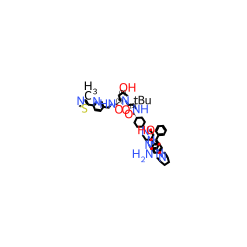 Cc1ncsc1-c1ccc(CNC(=O)[C@@H]2C[C@@H](O)CN2C(=O)[C@@H](NC(=O)[C@H]2CC[C@H](N3CCC(c4ccc(N5C6CCC5CN(c5cc(-c7ccccc7O)nnc5N)C6)cc4)CC3)CC2)C(C)(C)C)cn1